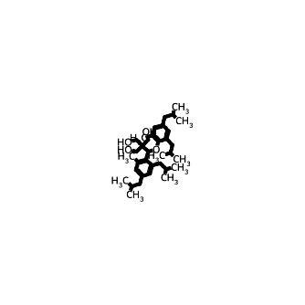 Cc1cc(CC(C)C)cc(CC(C)C)c1OC(c1c(C)cc(CC(C)C)cc1CC(C)C)C(CO)(CO)CO